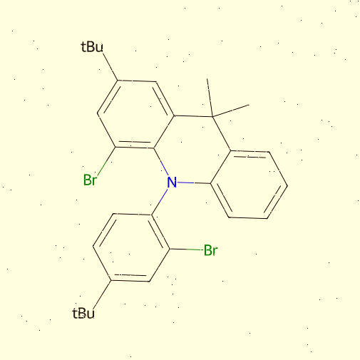 CC(C)(C)c1ccc(N2c3ccccc3C(C)(C)c3cc(C(C)(C)C)cc(Br)c32)c(Br)c1